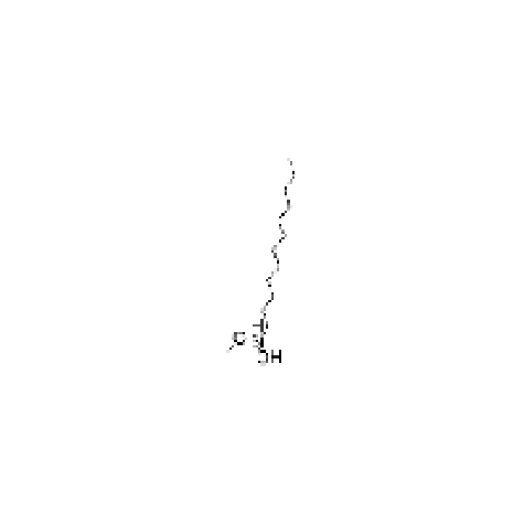 CCCCCCCCCCCC[SiH](O)OC